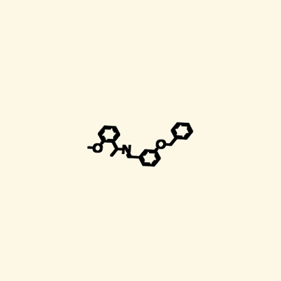 COc1ccccc1C(C)N=Cc1cccc(OCc2ccccc2)c1